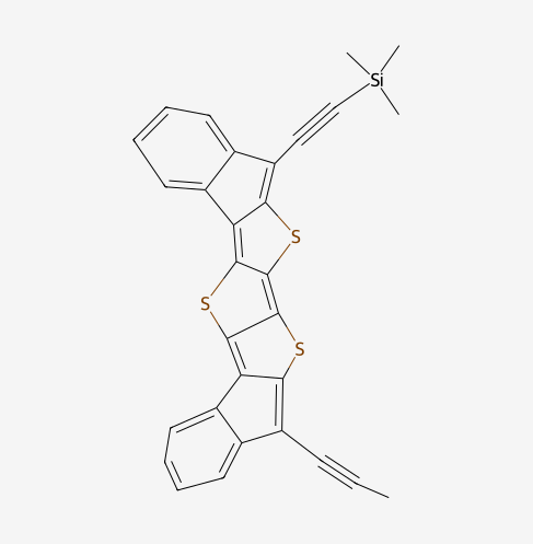 CC#CC1=c2sc3c(sc4c5c(sc43)=C(C#C[Si](C)(C)C)c3ccccc3-5)c2-c2ccccc21